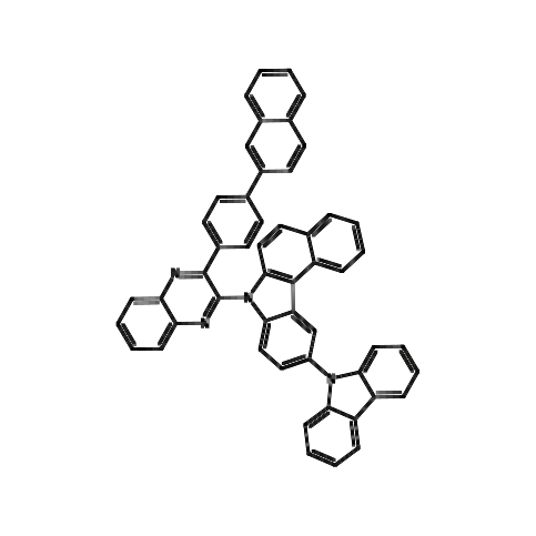 c1ccc2cc(-c3ccc(-c4nc5ccccc5nc4-n4c5ccc(-n6c7ccccc7c7ccccc76)cc5c5c6ccccc6ccc54)cc3)ccc2c1